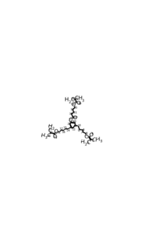 C=C(C)C(=O)OCCCCCc1cc(CCCCCOC(=O)C(=C)C)cc(OC(=O)CCCCOC(=O)C(=C)C)c1